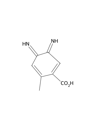 CC1=CC(=N)C(=N)C=C1C(=O)O